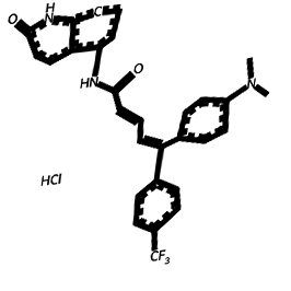 CN(C)c1ccc(/C(=C\C=C\C(=O)Nc2cccc3[nH]c(=O)ccc23)c2ccc(C(F)(F)F)cc2)cc1.Cl